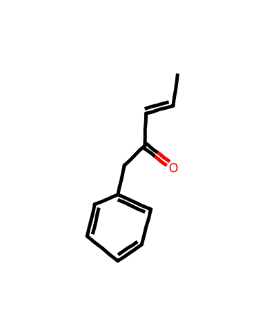 CC=CC(=O)Cc1ccccc1